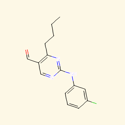 CCCCc1nc(Nc2cccc(Cl)c2)ncc1C=O